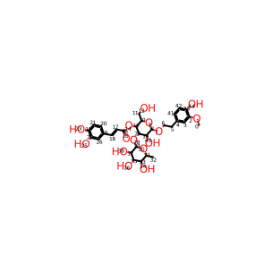 COc1cc(CCOC2OC(CO)C(OC(=O)/C=C/c3ccc(O)c(O)c3)C(OC3OC(C)C(O)C(O)C3O)C2O)ccc1O